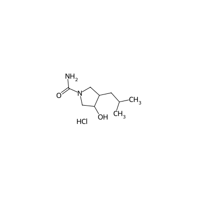 CC(C)CC1CN(C(N)=O)CC1O.Cl